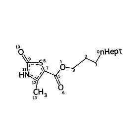 CCCCCCCCCCOC(=O)c1sc(=O)[nH]c1C